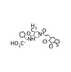 CC1CN(C(=O)/C=C/c2cc3ccsc3c(Cl)c2Cl)CCC1C(=O)N[C@H](CC(=O)O)c1ccccc1